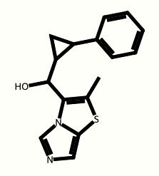 Cc1sc2cncn2c1C(O)C1CC1c1ccccc1